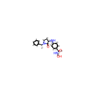 C[C@H](c1ccccc1)N1CCC(Nc2ccc(C(=O)NO)cc2)C1=O